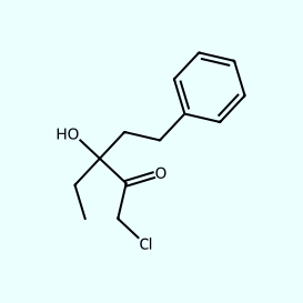 CCC(O)(CCc1ccccc1)C(=O)CCl